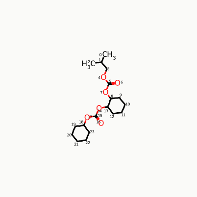 CC(C)COC(=O)OC1CCCCC1OC(=O)OC1CCCCC1